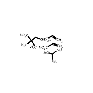 C=CC(=O)O.C=CC(=O)O.CC(C)(C)C(O)O.CC(C)(CO)C(=O)O